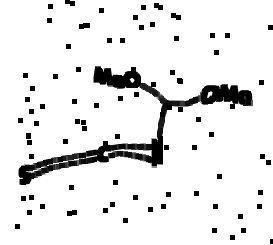 COC(N=C=S)OC